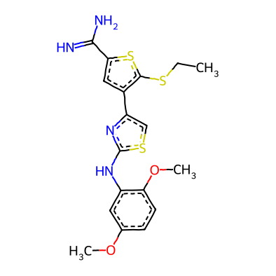 CCSc1sc(C(=N)N)cc1-c1csc(Nc2cc(OC)ccc2OC)n1